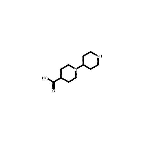 O=C(O)C1CCN(C2CCNCC2)CC1